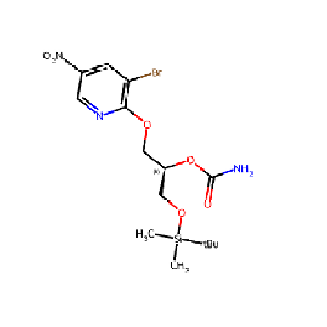 CC(C)(C)[Si](C)(C)OC[C@@H](COc1ncc([N+](=O)[O-])cc1Br)OC(N)=O